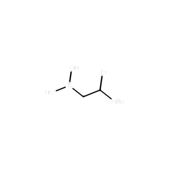 CCCCC(CC)[CH2][Ti]([OH])[OH]